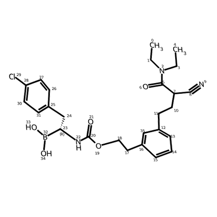 CCN(CC)C(=O)C(C#N)CCc1cccc(CCOC(=O)N[C@@H](Cc2ccc(Cl)cc2)B(O)O)c1